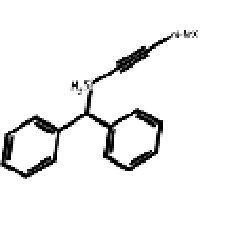 CCCCCCC#C[SiH2]C(c1ccccc1)c1ccccc1